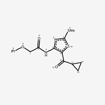 CSc1nc(NC(=O)COC(C)C)c(C(=O)C2CC2)s1